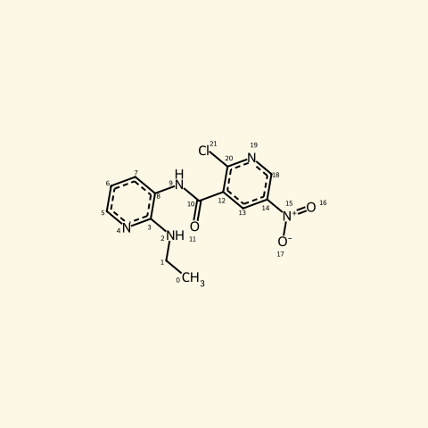 CCNc1ncccc1NC(=O)c1cc([N+](=O)[O-])cnc1Cl